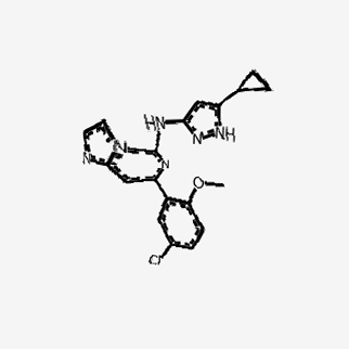 COc1ccc(Cl)cc1-c1cc2nccn2c(Nc2cc(C3CC3)[nH]n2)n1